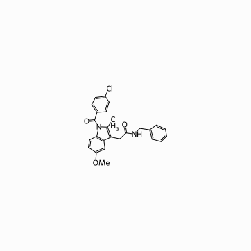 COc1ccc2c(c1)c(CC(=O)NCc1ccccc1)c(C)n2C(=O)c1ccc(Cl)cc1